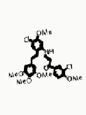 COc1ccc(C(=O)C=CNc2cc(OC)c(Cl)cc2C=Cc2cc(OC)c(OC)c(OC)c2)cc1Cl